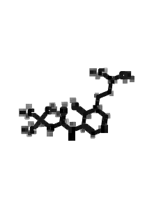 CN(C)CCn1cncc(NC(=O)OC(C)(C)C)c1=O